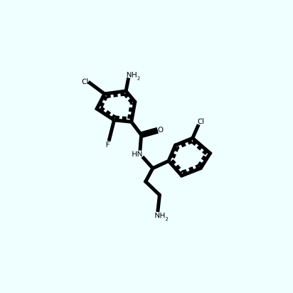 NCCC(NC(=O)c1cc(N)c(Cl)cc1F)c1cccc(Cl)c1